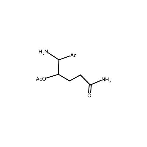 CC(=O)OC(CCC(N)=O)C(N)C(C)=O